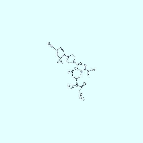 COCC(=O)N(C)C1CN[C@H](C(=O)N2CCN(c3ccc(C#N)cc3C)CC2)[C@@H](C(=O)NO)C1